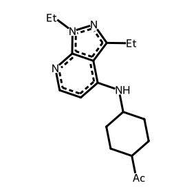 CCc1nn(CC)c2nccc(NC3CCC(C(C)=O)CC3)c12